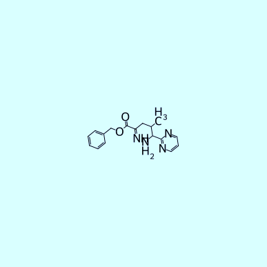 CC(CC(=N)C(=O)OCc1ccccc1)C(N)c1ncccn1